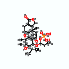 CCC(OC1[C@@]2(C(C)C)O[C@H]2[C@@H]2O[C@]23[C@]12OC2C[C@H]1C2=C(CC[C@@]13C)C(=O)OC2)OP(=O)(O)O